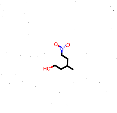 CC(CCO)CC[N+](=O)[O-]